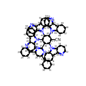 N#Cc1c(-n2c3ccccc3c3ncccc32)c(-c2nc(-c3ccccc3)cc(-c3ccccc3)n2)c(-n2c3ccccc3c3ncccc32)c(-n2c3ccccc3c3ncccc32)c1-n1c2ccccc2c2ncccc21